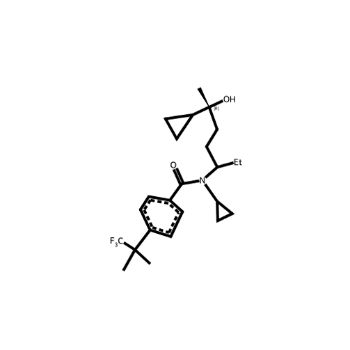 CCC(CC[C@@](C)(O)C1CC1)N(C(=O)c1ccc(C(C)(C)C(F)(F)F)cc1)C1CC1